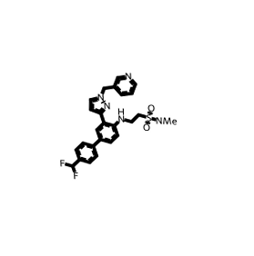 CNS(=O)(=O)CCNc1ccc(-c2ccc(C(F)F)cc2)cc1-c1ccn(Cc2cccnc2)n1